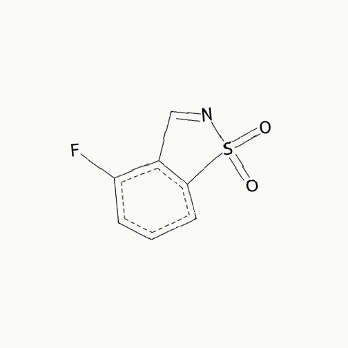 O=S1(=O)N=Cc2c(F)cccc21